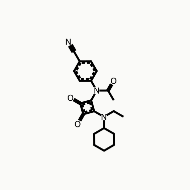 CCN(c1c(N(C(C)=O)c2ccc(C#N)cc2)c(=O)c1=O)C1CCCCC1